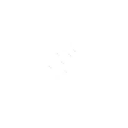 Cc1cc(Nc2cnc(-c3ccc(Cl)c(C)c3)c(N)n2)n[nH]1